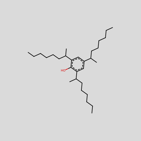 CCCCCCC(C)c1cc(C(C)CCCCCC)c(O)c(C(C)CCCCCC)c1